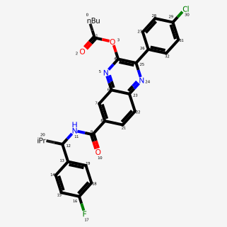 CCCCC(=O)Oc1nc2cc(C(=O)NC(c3ccc(F)cc3)C(C)C)ccc2nc1-c1ccc(Cl)cc1